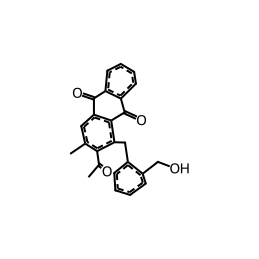 CC(=O)c1c(C)cc2c(c1Cc1ccccc1CO)C(=O)c1ccccc1C2=O